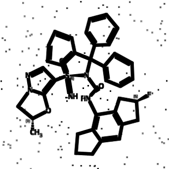 C[C@@H]1Cn2ncc([S@@](=N)(=O)N(C(=O)Nc3c4c(cc5c3C[C@@H](F)C5)CCC4)C(c3ccccc3)(c3ccccc3)c3ccccc3)c2O1